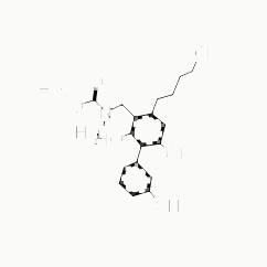 CCCCCc1cc(O)c(-c2cccc(C)c2)c(O)c1CN(C)C(=O)OC